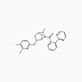 Cc1ccc(OC2CC3CC2N(C(=O)c2ccccc2-c2ncccn2)C3C)nc1F